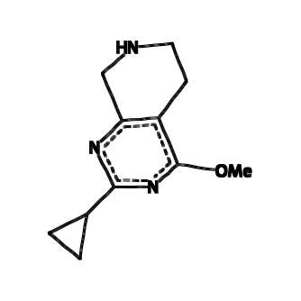 COc1nc(C2CC2)nc2c1CCNC2